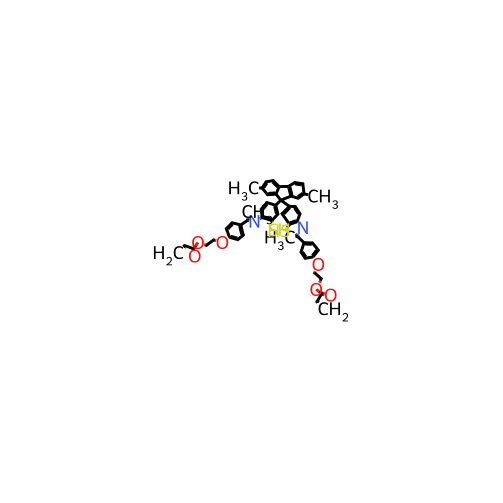 C=CC(=O)OCCOc1ccc(/C(C)=N/c2ccc(C3(c4ccc(/N=C(\C)c5ccc(OCCOC(=O)C=C)cc5)c(S)c4)c4cc(C)ccc4-c4ccc(C)cc43)cc2S)cc1